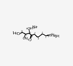 CCCCCCCCCCCC(=O)C(O)C(O)CO.[Na]